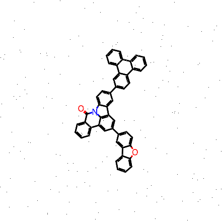 O=c1c2ccccc2c2cc(-c3ccc4oc5ccccc5c4c3)cc3c4cc(-c5ccc6c7ccccc7c7ccccc7c6c5)ccc4n1c23